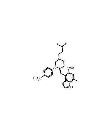 COc1cc(C)c2[nH]ccc2c1CN1CCN(CCC(F)F)C[C@H]1c1ccc(C(=O)O)cc1